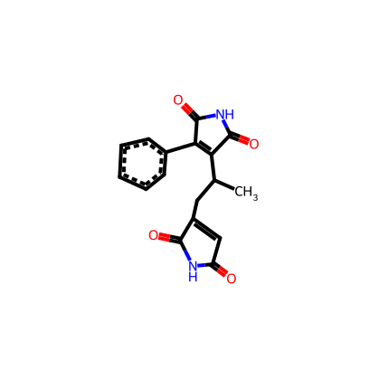 CC(CC1=CC(=O)NC1=O)C1=C(c2ccccc2)C(=O)NC1=O